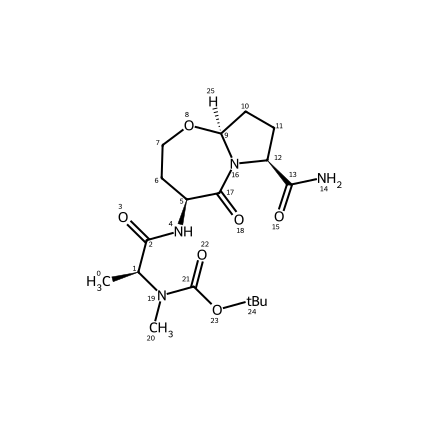 C[C@@H](C(=O)N[C@H]1CCO[C@H]2CC[C@@H](C(N)=O)N2C1=O)N(C)C(=O)OC(C)(C)C